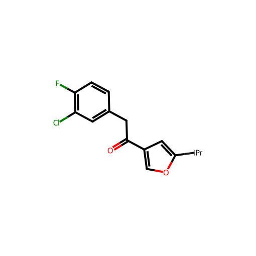 CC(C)c1cc(C(=O)Cc2ccc(F)c(Cl)c2)co1